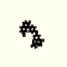 CNC1=C(C(=N)C(F)(F)F)CCN(OC2CCN(c3c(C)cnc4ccc(Cl)cc34)CC2)C1